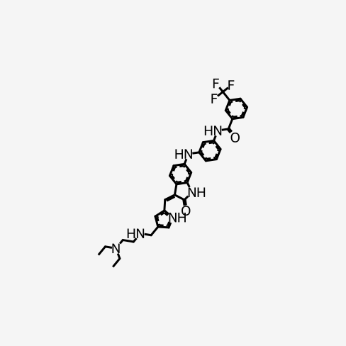 CCN(CC)CCNCc1c[nH]c(C=C2C(=O)Nc3cc(Nc4cccc(NC(=O)c5cccc(C(F)(F)F)c5)c4)ccc32)c1